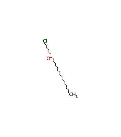 CCCCCCCCCCCCCCCCCC(=O)CCCCCCCl